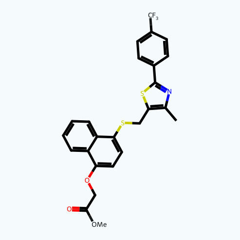 COC(=O)COc1ccc(SCc2sc(-c3ccc(C(F)(F)F)cc3)nc2C)c2ccccc12